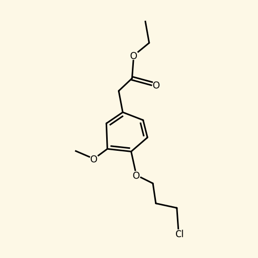 CCOC(=O)Cc1ccc(OCCCCl)c(OC)c1